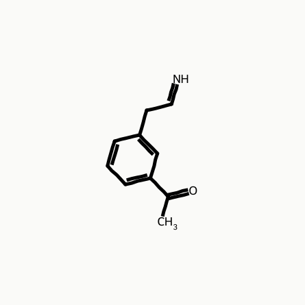 CC(=O)c1cccc(CC=N)c1